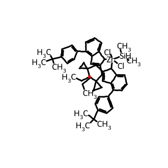 CCCC1(CC2=Cc3c(-c4ccc(C(C)(C)C)cc4)cccc3[CH]2[Zr]([Cl])([Cl])([CH]2C(CC3(CCC)CC3)=Cc3c(-c4ccc(C(C)(C)C)cc4)cccc32)[SiH](C)C)CC1